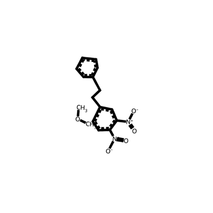 COC.O=[N+]([O-])c1ccc(CCc2ccccc2)cc1[N+](=O)[O-]